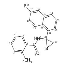 Cc1ccccc1C(=O)NC1(c2cccc3cc(F)ccc23)CC1